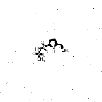 C=Cc1ccc(S(=O)(=O)NS(C)(=O)=O)[nH]1